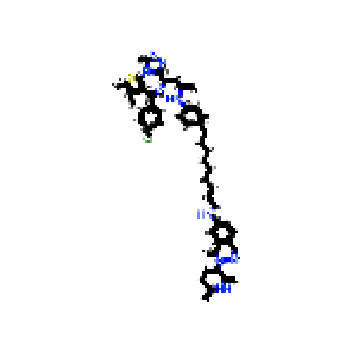 C=C1CCC(N2N=Cc3ccc(NCCCCCCCCCc4ccc(NC(=C)CC5N=C(c6ccc(Cl)cc6)c6c(sc(C)c6C)-n6c(C)nnc65)cc4)cc3C2=C)C(=C)N1